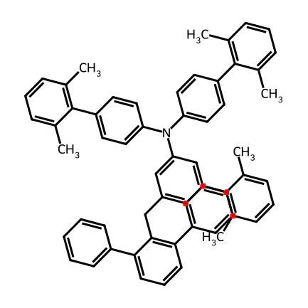 Cc1cccc(C)c1-c1ccc(N(c2ccc(-c3c(C)cccc3C)cc2)c2cc(Cc3c(-c4ccccc4)cccc3-c3ccccc3)cc(-c3c(C)cccc3C)c2)cc1